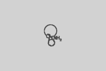 NC1CCCCCCCCCCCCCCC2CC3C4C5=CC=CC=CC=C6C2=C5C13CC64